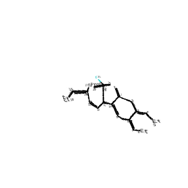 C=C1CC(=C/CC)/C(=C\CC)C=C1C(/C=C\C(=C/CC)CCCCC)C(C)(C)F